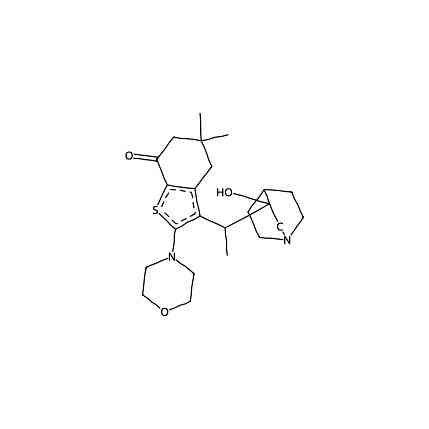 CC(c1c(N2CCOCC2)sc2c1CC(C)(C)CC2=O)C1(O)CN2CCC1CC2